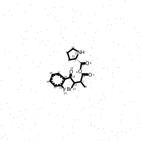 CC(C(=O)OC(=O)[C@@H]1CCCN1)C(Br)C(=O)c1ccccc1F